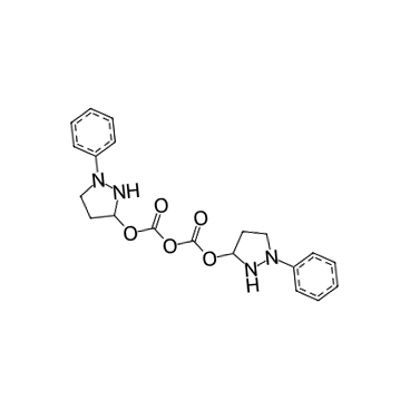 O=C(OC(=O)OC1CCN(c2ccccc2)N1)OC1CCN(c2ccccc2)N1